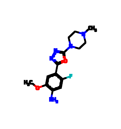 COc1cc(-c2nnc(N3CCN(C)CC3)o2)c(F)cc1N